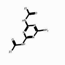 CCC(=O)Nc1nc(N)nc(NC(=O)CC)n1